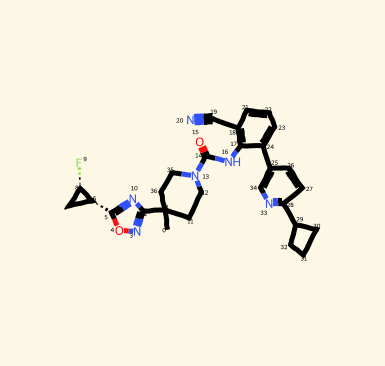 CC1(c2noc([C@@H]3C[C@@H]3F)n2)CCN(C(=O)Nc2c(C#N)cccc2-c2ccc(C3CCC3)nc2)CC1